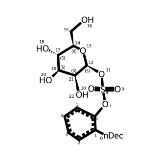 CCCCCCCCCCc1ccccc1OS(=O)(=O)O[C@@H]1O[C@H](CO)[C@@H](O)[C@H](O)[C@@H]1O